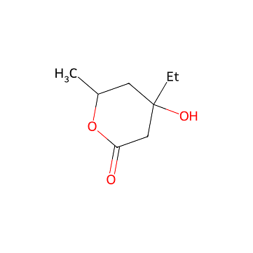 CCC1(O)CC(=O)OC(C)C1